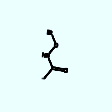 [CH2]C(=O)NOCC